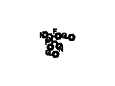 O=C(C(Cc1ccncc1)c1ccc(OCc2ccccc2)cc1F)C(Cc1ccncc1)c1ccc(OCc2ccccc2)cc1F